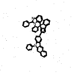 c1ccc(-c2nc3cccc4c3n2-c2ccccc2C42c3ccccc3-c3ccc(-c4ccc5c(c4)c4cc6ccccc6cc4n5-c4ccccc4)cc32)cc1